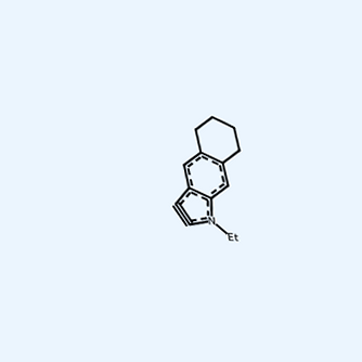 CCn1c#cc2cc3c(cc21)CCCC3